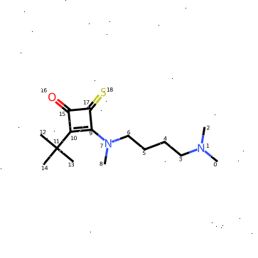 CN(C)CCCCN(C)c1c(C(C)(C)C)c(=O)c1=S